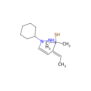 C/C=C(\C=C/N(N)C1CCCCC1)C(C)(C)S